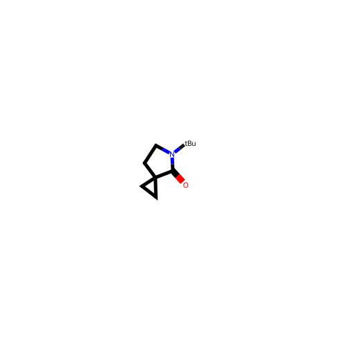 CC(C)(C)N1CCC2(CC2)C1=O